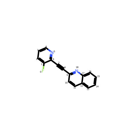 Fc1cccnc1C#Cc1ccc2ccccc2n1